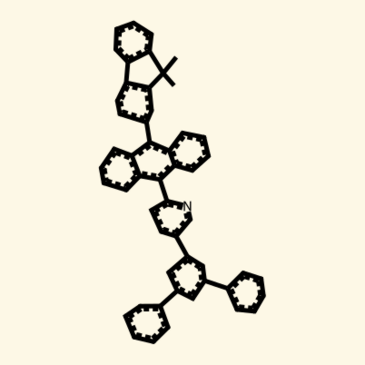 CC1(C)c2ccccc2-c2ccc(-c3c4ccccc4c(-c4ccc(-c5cc(-c6ccccc6)cc(-c6ccccc6)c5)cn4)c4ccccc34)cc21